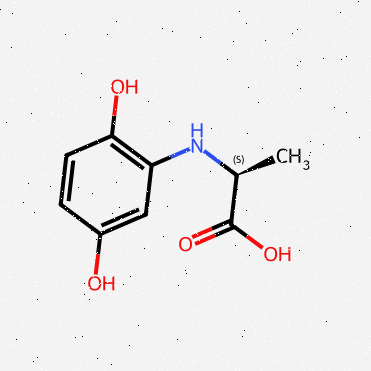 C[C@H](Nc1cc(O)ccc1O)C(=O)O